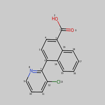 O=C(O)c1ccc(-c2ncccc2Cl)c2ccccc12